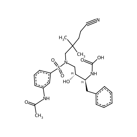 CC(=O)Nc1cccc(S(=O)(=O)N(C[C@@H](O)[C@H](Cc2ccccc2)NC(=O)O)CC(C)(C)CCC#N)c1